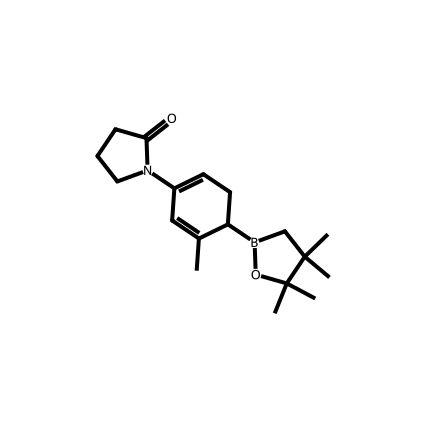 CC1=CC(N2CCCC2=O)=CCC1B1CC(C)(C)C(C)(C)O1